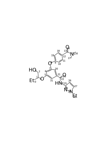 CCC(CO)Oc1cc(Oc2ccc(C(=O)N(C)C)cc2)cc(C(=O)Nc2ccn(CC)n2)c1